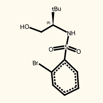 CC(C)(C)[C@H](CO)NS(=O)(=O)c1ccccc1Br